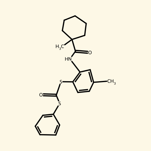 Cc1ccc(SC(=O)Sc2ccccc2)c(NC(=O)C2(C)CCCCC2)c1